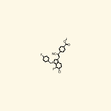 N#C/C(=C\c1cn(Cc2ccc(F)cc2)c2c(F)c(Cl)ccc12)c1ccc(C(=O)OI)cc1